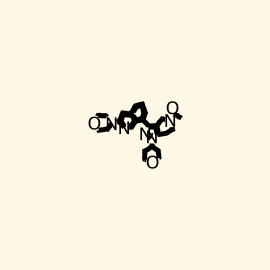 CC(=O)N1CCc2c(c(-c3cccc4cc(N5CCOCC5)ncc34)nn2C2CCOCC2)C1